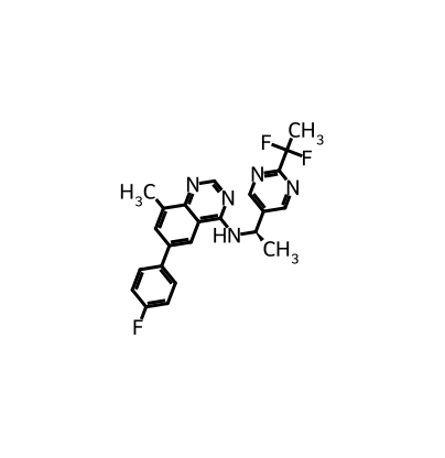 Cc1cc(-c2ccc(F)cc2)cc2c(N[C@H](C)c3cnc(C(C)(F)F)nc3)ncnc12